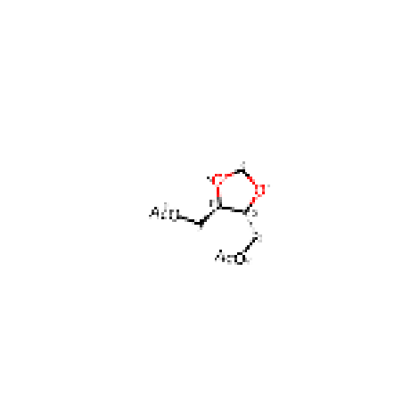 CC(=O)OC[C@H]1OCO[C@@H]1COC(C)=O